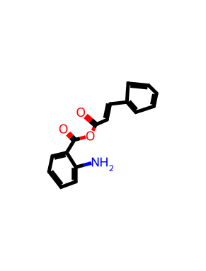 Nc1ccccc1C(=O)OC(=O)C=Cc1ccccc1